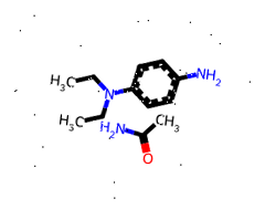 CC(N)=O.CCN(CC)c1ccc(N)cc1